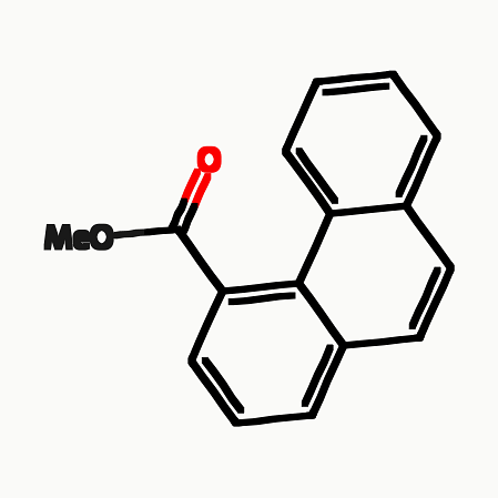 COC(=O)c1cccc2ccc3ccccc3c12